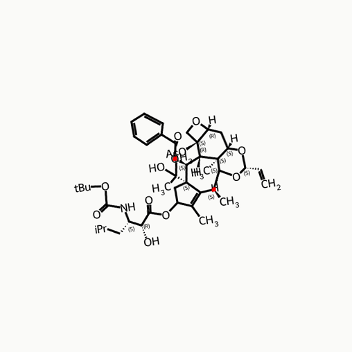 C=C[C@H]1O[C@H]2C[C@H]3OC[C@@]3(OC(C)=O)[C@H]3[C@H](OC(=O)c4ccccc4)[C@]4(C(C)(C)O)CC(OC(=O)[C@H](O)[C@H](CC(C)C)NC(=O)OC(C)(C)C)C(C)=C4[C@H](C)[C@H](O1)[C@]23C